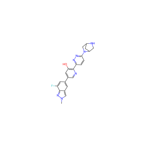 Cn1cc2cc(-c3cnc(-c4ccc(N5CC6CC5CN6)nn4)c(O)c3)cc(F)c2n1